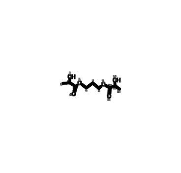 CC(O)C(=O)OCCCOC(=O)C(C)O